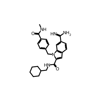 CNC(=O)c1ccc(Cn2c(C(=O)NCC3CCCCC3)cc3ccc(C(=N)N)cc32)cc1